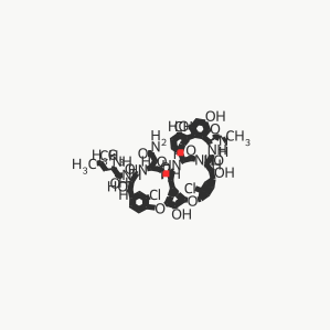 CNC(=O)[C@H]1NC(=O)[C@H]2NC(=O)[C@H](NC(=O)[C@@H]3NC(=O)[C@H](CC(N)=O)NC(=O)[C@H](NC(=O)[C@@H](CC(C)C)NC)[C@H](O)c4ccc(c(Cl)c4)Oc4cc3cc(c4O)Oc3ccc(cc3Cl)[C@H]2O)c2ccc(C)c(c2)-c2c(O)cc(O)cc21